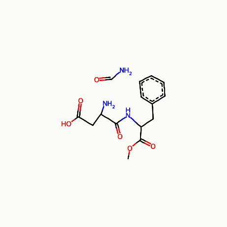 COC(=O)C(Cc1ccccc1)NC(=O)C(N)CC(=O)O.NC=O